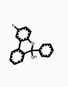 OC1(c2ccccc2)Oc2ccc(F)cc2-c2ccccc21